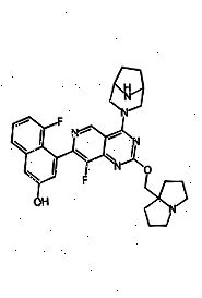 Oc1cc(-c2ncc3c(N4CC5CCC(C4)N5)nc(OCC45CCCN4CCC5)nc3c2F)c2c(F)cccc2c1